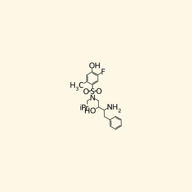 Cc1cc(O)c(F)cc1S(=O)(=O)N(CC(C)C)CC(O)C(N)Cc1ccccc1